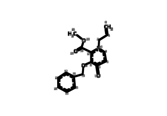 C=CCn1ccc(=O)c(OCc2ccccc2)c1C(=O)OC